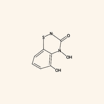 O=C1[N]Sc2cccc(O)c2N1O